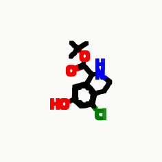 CC(C)(C)OC(=O)C1NCCc2c(Cl)cc(O)cc21